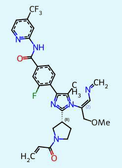 C=CC(=O)N1CC[C@@H](c2nc(-c3ccc(C(=O)Nc4cc(C(F)(F)F)ccn4)cc3F)c(C)n2/C(=C\N=C)COC)C1